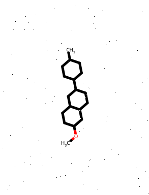 COC1CCC2CC(C3CCC(C)CC3)CCC2C1